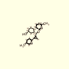 Cc1ccc(C2=C(COc3nc(C)ncc3[C@H]3CC[C@H](O)CC3)C2)nc1